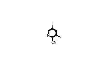 N#Cc1ncc(I)cc1F